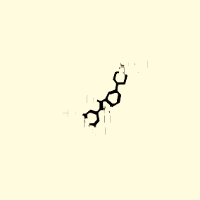 Cc1cc(-c2[nH]c3ccc(C4CCN(C(=O)O)CC4)cc3c2C(C)C)cc(C)n1